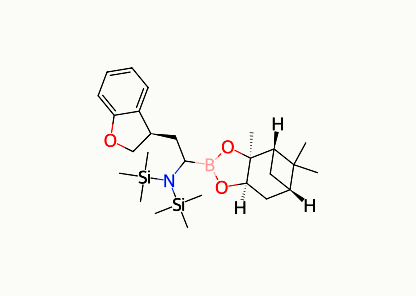 CC1(C)[C@@H]2C[C@H]3OB(C(C[C@H]4COc5ccccc54)N([Si](C)(C)C)[Si](C)(C)C)O[C@@]3(C)[C@H]1C2